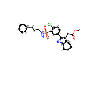 COC(=O)Cc1c(-c2ccc(Cl)c(S(=O)(=O)NCCCc3ccccc3)c2)[nH]c2ccccc12